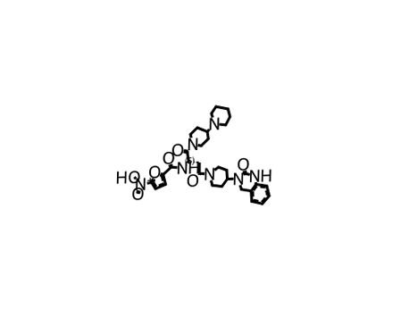 O=C(N[C@@H](CC(=O)N1CCC(N2Cc3ccccc3NC2=O)CC1)C(=O)N1CCC(N2CCCCC2)CC1)c1ccc([N+](=O)O)o1